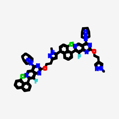 Cn1cc(CCOc2nc(N3CC4CCC(C3)N4)c3cnc(-c4cccc5c(-c6cc(CCOc7nc(N8CC9CCC(C8)N9)c8cnc(-c9cccc%10cccc(Cl)c9%10)c(F)c8n7)nn6C)ccc(Cl)c45)c(F)c3n2)cn1